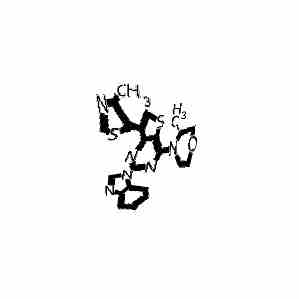 Cc1ncsc1-c1csc2c(N3CCOC[C@H]3C)nc(-n3cnc4ccccc43)nc12